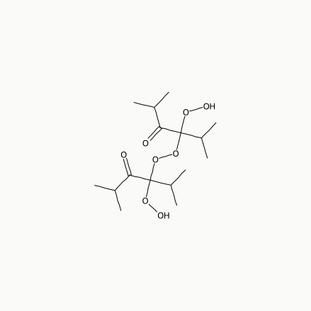 CC(C)C(=O)C(OO)(OOC(OO)(C(=O)C(C)C)C(C)C)C(C)C